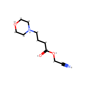 N#CCOC(=O)CCCN1CCOCC1